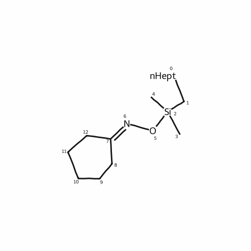 CCCCCCCC[Si](C)(C)ON=C1CCCCC1